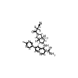 Cc1ncc(-c2cc3c(N[C@@H]4C[C@@H]5CN(C(=O)C(C)(C)C#N)C[C@H]5[C@@H]4C)c(C(N)=O)cnn3c2)cn1